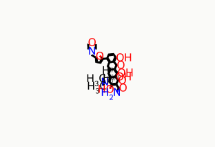 CN(C)[C@H]1C(O)=C(C(N)=O)C(=O)[C@]2(O)C(O)=C3C(=O)c4c(O)ccc(-c5ccc(CN6CCOCC6)o5)c4C[C@H]3C[C@@H]12